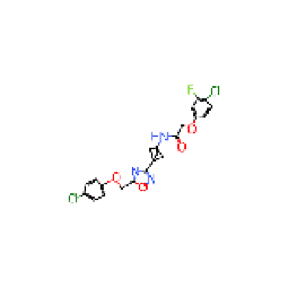 O=C(COc1ccc(Cl)c(F)c1)NC12CC(c3noc(COc4ccc(Cl)cc4)n3)(C1)C2